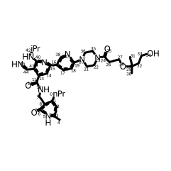 CCCc1cc(C)[nH]c(=O)c1CNC(=O)c1cc(-c2ccc(N3CCN(C(=O)CCOC(C)(C)CCO)CC3)nc2)nc(NC(C)C)c1C=N